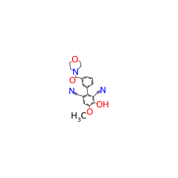 COc1cc(C#N)c(-c2cccc(C(=O)N3CCOCC3)c2)c(C#N)c1O